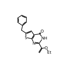 C=C(OCC)c1nc2sc(Cc3ccccc3)cc2c(=O)[nH]1